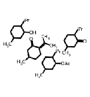 CC(=O)OC1CC(C)CCC1C(C)C.CC(C)=C1CCC(C)CC1=O.CC1CCC(C(C)C)C(=O)C1.CC1CCC(C(C)C)C(O)C1